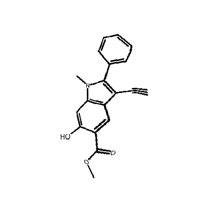 C#Cc1c(-c2ccccc2)n(C)c2cc(O)c(C(=O)OC)cc12